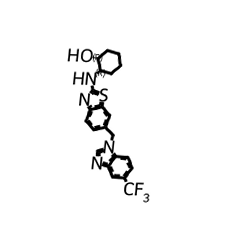 O[C@@H]1CCCC[C@H]1Nc1nc2ccc(Cn3cnc4cc(C(F)(F)F)ccc43)cc2s1